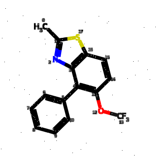 Cc1nc2c(-c3ccccc3)c(OC(F)(F)F)ccc2s1